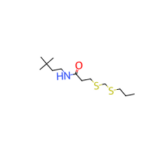 CCCSCSCCC(=O)NCCC(C)(C)C